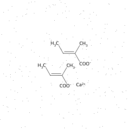 CC=C(C)C(=O)[O-].CC=C(C)C(=O)[O-].[Ca+2]